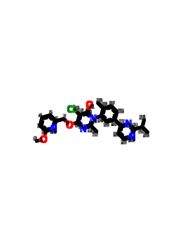 COc1cccc(COc2nc(C)n(-c3cc(-c4ccnc(C(C)C)n4)ccc3C)c(=O)c2Cl)n1